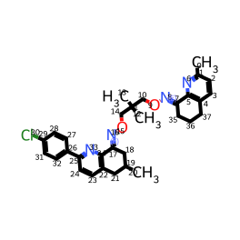 Cc1ccc2c(n1)/C(=N/OCC(C)(C)CO/N=C1\CC(C)Cc3ccc(-c4ccc(Cl)cc4)nc31)CCC2